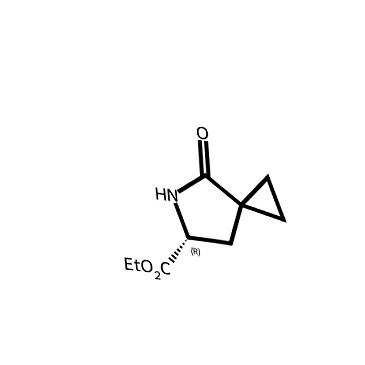 CCOC(=O)[C@H]1CC2(CC2)C(=O)N1